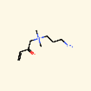 C=CC(=O)C[N+](C)(C)CCCN